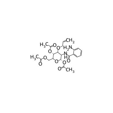 C=CCOC1C(NC(=O)c2ccccc2N)[C@H](OC(C)=O)OC(COC(C)=O)[C@@H]1OC(C)=O